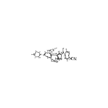 COc1cc(C2CCN(C)CC2)ccc1-c1cc(Nc2ccc(C#N)nc2)n[nH]1.Cl